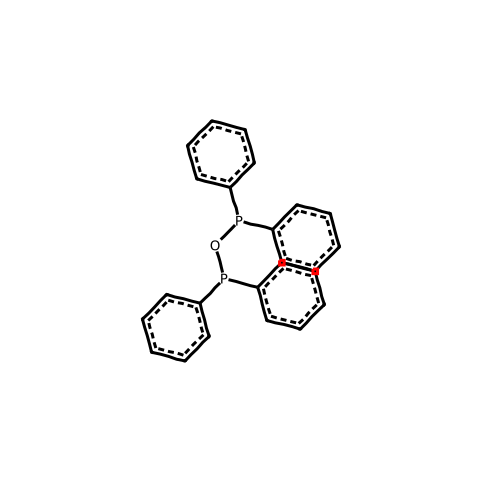 c1ccc(P(OP(c2ccccc2)c2ccccc2)c2ccccc2)cc1